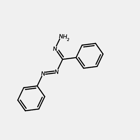 NN=C(N=Nc1ccccc1)c1ccccc1